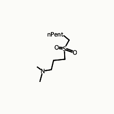 CCCCCCS(=O)(=O)CCCN(C)C